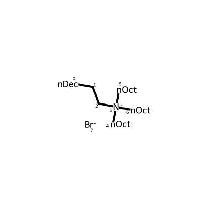 CCCCCCCCCCCC[N+](CCCCCCCC)(CCCCCCCC)CCCCCCCC.[Br-]